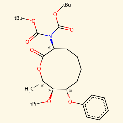 CCCO[C@H]1[C@H](C)OC(=O)[C@@H](N(C(=O)OC(C)(C)C)C(=O)OC(C)(C)C)CCCC[C@@H]1Oc1ccccc1